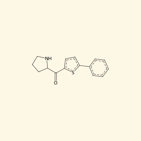 O=C(c1ccc(-c2ccccc2)s1)C1CCCN1